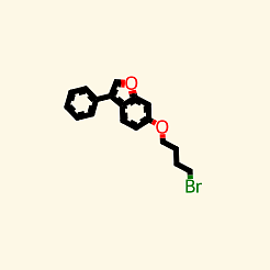 BrCCCCOc1ccc2c(-c3ccccc3)coc2c1